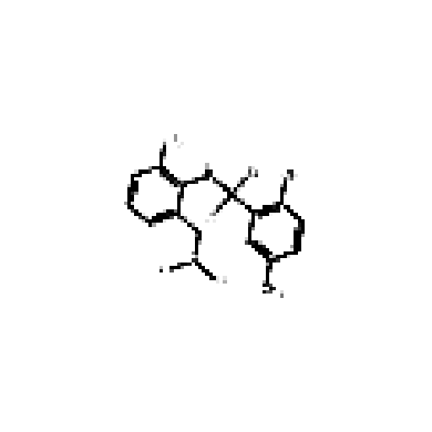 CCC(CC)(Pc1c(C)cccc1CN(C(C)C)C(C)C)c1cc(C)ccc1O